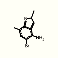 Cc1cc(Br)c(N)c2c1=NC(C)C=2